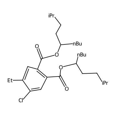 CCCCC(CCC(C)C)OC(=O)c1cc(Cl)c(CC)cc1C(=O)OC(CCCC)CCC(C)C